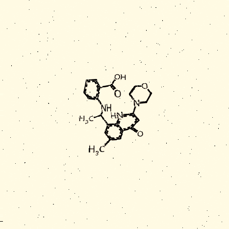 Cc1cc(C(C)Nc2ccccc2C(=O)O)c2[nH]c(N3CCOCC3)cc(=O)c2c1